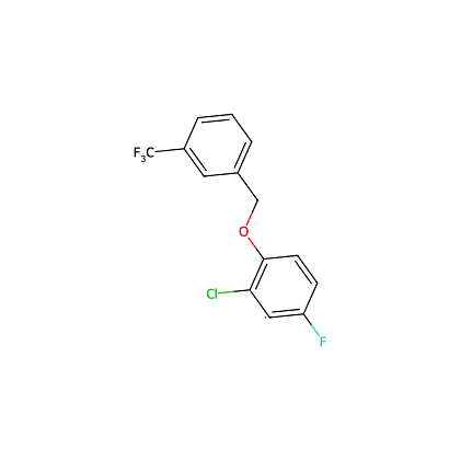 Fc1[c]c(Cl)c(OCc2cccc(C(F)(F)F)c2)cc1